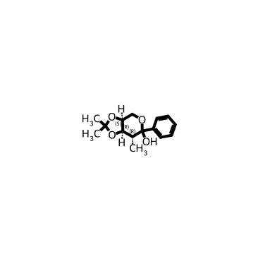 C[C@@H]1[C@H]2OC(C)(C)O[C@H]2COC1(O)c1ccccc1